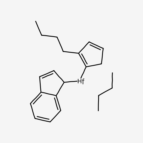 CCCC.CCCCC1=[C]([Hf][CH]2C=Cc3ccccc32)CC=C1